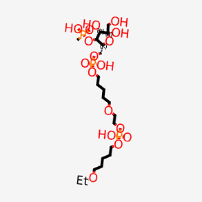 CCOCCCCCOP(=O)(O)OCCOCCCCCOP(=O)(O)OC[C@H]1O[C@](O)(CO)[C@H](O)C1OP(C)(=O)O